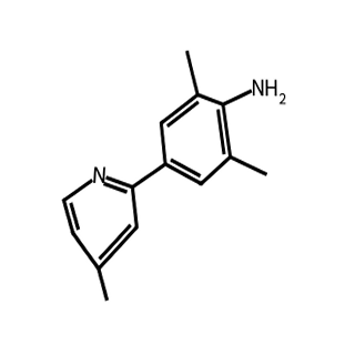 Cc1ccnc(-c2cc(C)c(N)c(C)c2)c1